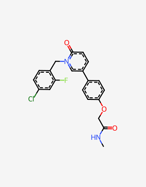 CNC(=O)COc1ccc(-c2ccc(=O)n(Cc3ccc(Cl)cc3F)c2)cc1